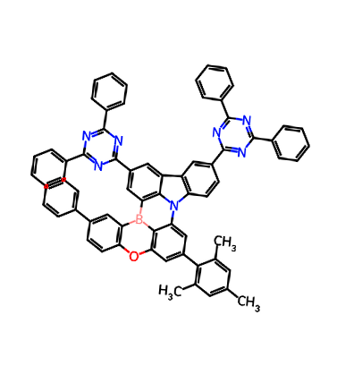 Cc1cc(C)c(-c2cc3c4c(c2)-n2c5ccc(-c6nc(-c7ccccc7)nc(-c7ccccc7)n6)cc5c5cc(-c6nc(-c7ccccc7)nc(-c7ccccc7)n6)cc(c52)B4c2cc(-c4ccccc4)ccc2O3)c(C)c1